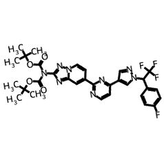 CC(C)(C)OC(=O)N(C(=O)OC(C)(C)C)c1nc2cc(-c3nccc(-c4cnn(C(c5ccc(F)cc5)C(F)(F)F)c4)n3)ccn2n1